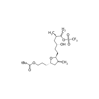 C=C(OS(=O)(=O)C(F)(F)F)[C@H](C)C[C@H](O)CC[C@@H]1O[C@@H](CCCOC(=O)C(C)(C)C)CC1=C